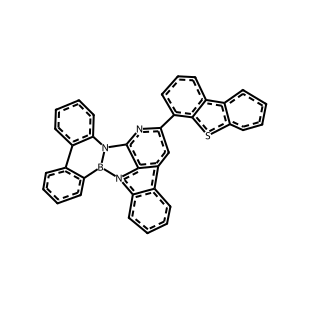 c1ccc2c(c1)B1N(c3ccccc3-2)c2nc(-c3cccc4c3sc3ccccc34)cc3c4ccccc4n1c23